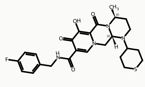 C[C@H]1CCN(C2CCSCC2)[C@@H]2Cn3cc(C(=O)NCc4ccc(F)cc4)c(=O)c(O)c3C(=O)N12